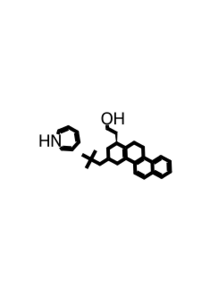 C1=CC=CNC=C1.CC(C)(C)CC1CC2=C(CCc3c2ccc2ccccc32)[C@H](CCO)C1